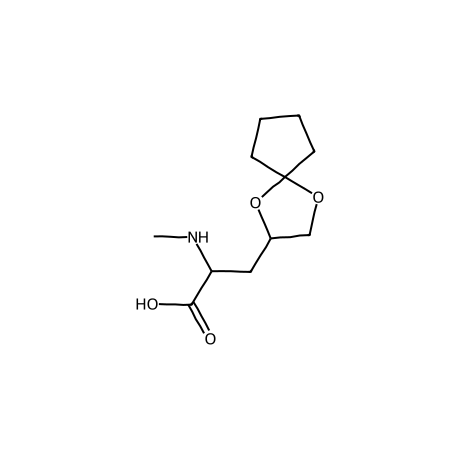 CNC(CC1COC2(CCCC2)O1)C(=O)O